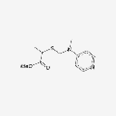 COC(=O)C(C)SCN(C)c1ccncc1